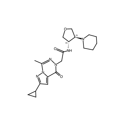 Cc1nn(CC(=O)N[C@@H]2COC[C@H]2N2CCCCC2)c(=O)c2cc(C3CC3)nn12